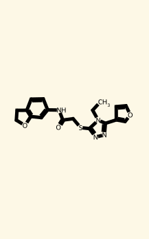 CCn1c(SCC(=O)Nc2ccc3c(c2)OCC3)nnc1-c1ccoc1